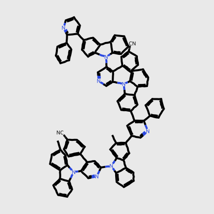 Cc1ccc2c3ccccc3n(-c3cnc(-n4c5ccccc5c5cc(-c6cnc(-c7ccccc7)c(-c7ccc8c(c7)c7ccccc7n8-c7cncc(-n8c9ccccc9c9cc(-c%10cccnc%10-c%10ccccc%10)ccc98)c7-c7cccc(C#N)c7)c6)c(C)cc54)cc3-c3ccc(C#N)cc3)c2c1